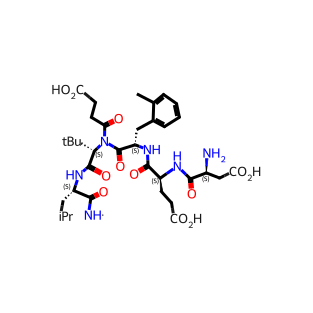 Cc1ccccc1C[C@H](NC(=O)[C@H](CCC(=O)O)NC(=O)[C@@H](N)CC(=O)O)C(=O)N(C(=O)CCC(=O)O)[C@H](C(=O)N[C@@H](CC(C)C)C([NH])=O)C(C)(C)C